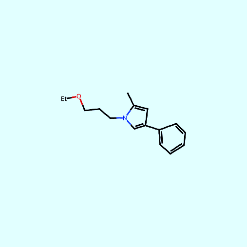 CCOCCCn1cc(-c2ccccc2)cc1C